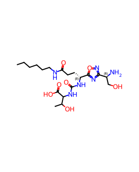 CCCCCCNC(=O)CC[C@@H](NC(=O)NC(C(=O)O)C(C)O)c1nc([C@@H](N)CO)no1